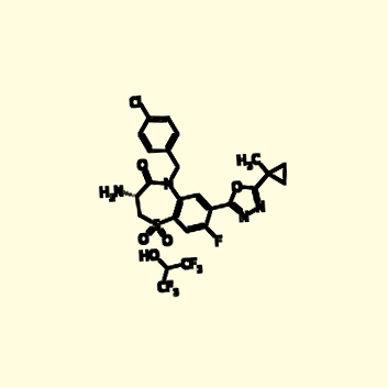 CC1(c2nnc(-c3cc4c(cc3F)S(=O)(=O)C[C@H](N)C(=O)N4Cc3ccc(Cl)cc3)o2)CC1.OC(C(F)(F)F)C(F)(F)F